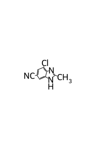 Cc1nc2c(Cl)cc(C#N)cc2[nH]1